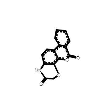 O=C1COc2c(ccc3c2oc(=O)c2ccccc23)N1